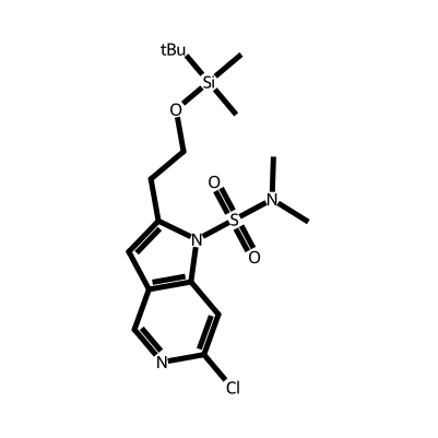 CN(C)S(=O)(=O)n1c(CCO[Si](C)(C)C(C)(C)C)cc2cnc(Cl)cc21